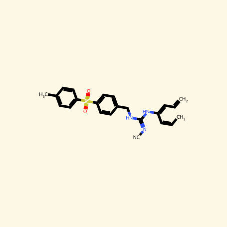 C=C/C=C(\C=C/C)N/C(=N/C#N)NCc1ccc(S(=O)(=O)c2ccc(C)cc2)cc1